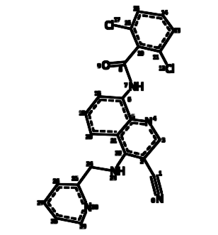 N#Cc1cnc2c(NC(=O)c3c(Cl)cccc3Cl)cccc2c1NCc1ccccn1